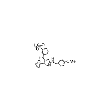 COc1ccc(CNc2cc(Nc3cccc(S(C)(=O)=O)c3)c(-c3ccco3)cn2)cc1